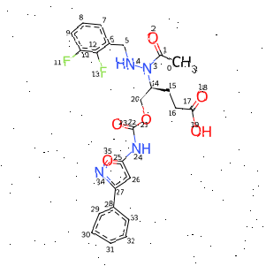 CC(=O)N(NCc1cccc(F)c1F)[C@@H](CCC(=O)O)COC(=O)Nc1cc(-c2ccccc2)no1